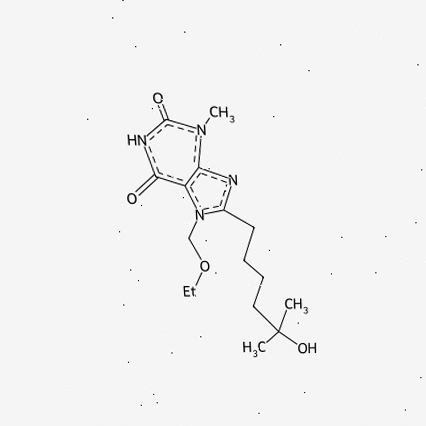 CCOCn1c(CCCCC(C)(C)O)nc2c1c(=O)[nH]c(=O)n2C